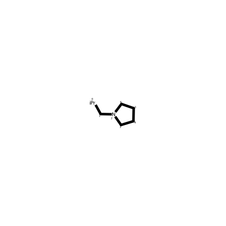 CC(C)CN1CCCC1